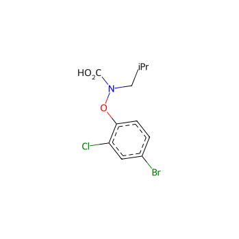 CC(C)CN(Oc1ccc(Br)cc1Cl)C(=O)O